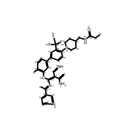 C=C(N)/C(C=N)=C(\N=C(/C)c1cccnc1)Oc1cc(-c2ccc(N3CCC(CNC(=O)CC)CC3)c(C(F)(F)F)c2)ccc1C